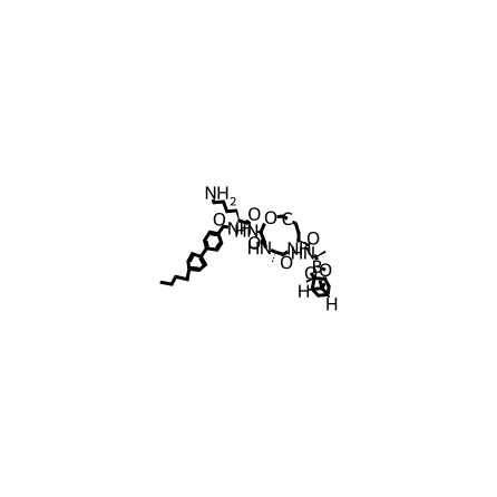 CCCCc1ccc(-c2ccc(C(=O)N[C@@H](CCCCN)C(=O)N[C@H]3COCCCC[C@@H](C(=O)N[C@@H](C)B4OC5C[C@@H]6C[C@@H](C6(C)C)[C@]5(C)O4)NC(=O)[C@H](C)NC3=O)cc2)cc1